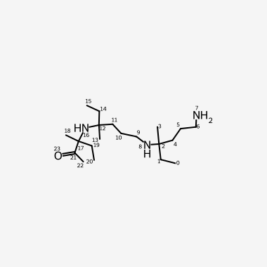 CCC(C)(CCCN)NCCCC(C)(CC)NC(C)(CC)C(C)=O